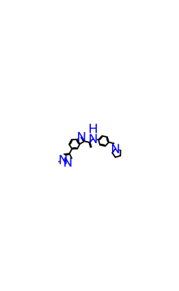 C=C(Nc1ccc(CN2CCCC2)cc1)C1=Nc2ccc(-c3cnn(C)c3)cc21